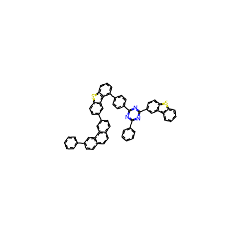 c1ccc(-c2ccc3ccc4ccc(-c5ccc6sc7cccc(-c8ccc(-c9nc(-c%10ccccc%10)nc(-c%10ccc%11sc%12ccccc%12c%11c%10)n9)cc8)c7c6c5)cc4c3c2)cc1